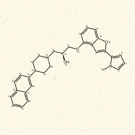 Cn1ccnc1-c1cc2c(OC[C@@H](O)CN3CCC(c4ccc5ccccc5c4)CC3)cccc2o1